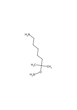 CC(C)(CCCCCN)O[SiH3]